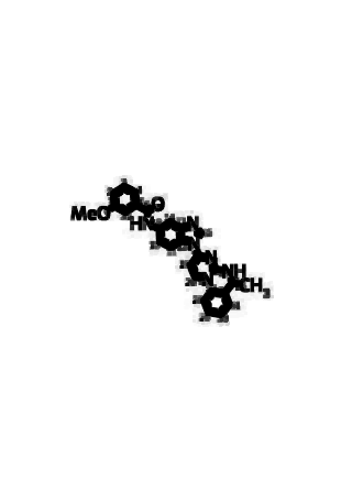 COc1cccc(C(=O)Nc2ccc3c(c2)ncn3-c2ccnc(NC(C)c3ccccc3)n2)c1